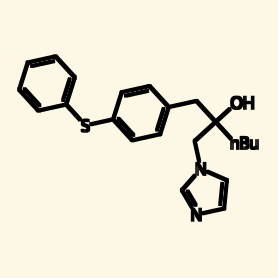 CCCCC(O)(Cc1ccc(Sc2ccccc2)cc1)Cn1ccnc1